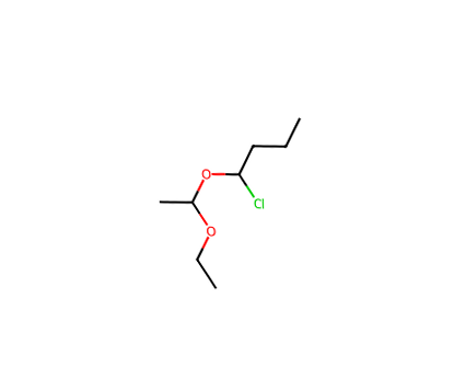 CCCC(Cl)OC(C)OCC